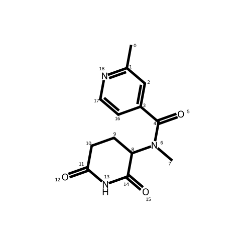 Cc1cc(C(=O)N(C)C2CCC(=O)NC2=O)ccn1